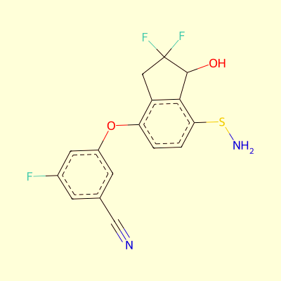 N#Cc1cc(F)cc(Oc2ccc(SN)c3c2CC(F)(F)C3O)c1